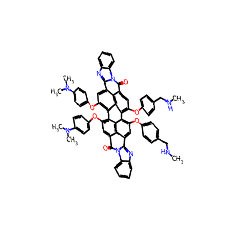 CNCc1ccc(Oc2cc3c(=O)n4c5ccccc5nc4c4cc(Oc5ccc(N(C)C)cc5)c5c6c(Oc7ccc(N(C)C)cc7)cc7c(=O)n8c9ccccc9nc8c8cc(Oc9ccc(CNC)cc9)c(c2c5c34)c6c78)cc1